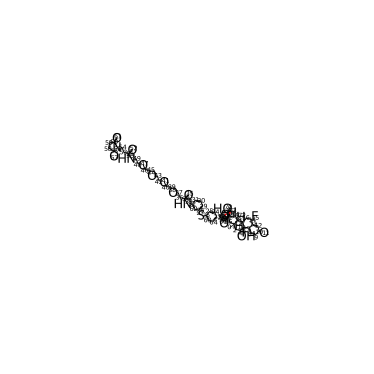 C[C@]12C[C@H](O)[C@]3(F)C4=C=CC(=O)C=C4[C@@H](F)C[C@H]3[C@@H]1C[C@H]1O[C@@H](c3ccc(Sc4cccc(NC(=O)CCOCCOCCOCCOCCNC(=O)CCN5C(=O)C=CC5=O)c4)cc3)O[C@]12C(=O)CO